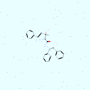 CN(C(=O)[C@@H](N)C(C)(O)/C=C/c1ccccc1)[C@H](c1ccccc1)[C@H](O)c1ccccc1